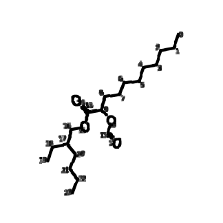 CCCCCCCCCC(O[C]=O)C(=O)OCC(CC)CCCC